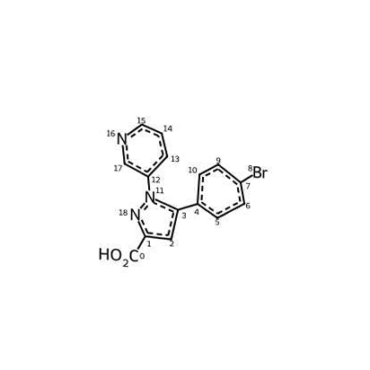 O=C(O)c1cc(-c2ccc(Br)cc2)n(-c2cccnc2)n1